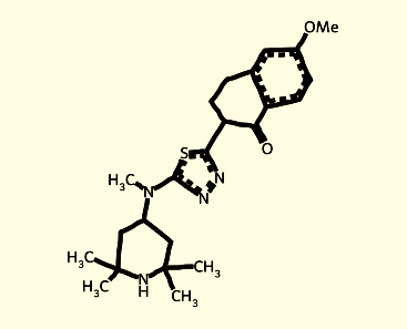 COc1ccc2c(c1)CCC(c1nnc(N(C)C3CC(C)(C)NC(C)(C)C3)s1)C2=O